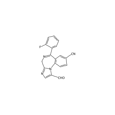 N#Cc1ccc2c(c1)C(c1ccccc1F)=NCc1ncc(C=O)n1-2